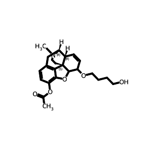 CC(=O)Oc1ccc2c3c1OC1C(OCCCCO)C=C[C@H]4[C@@H](C2)N(C)CC[C@]314